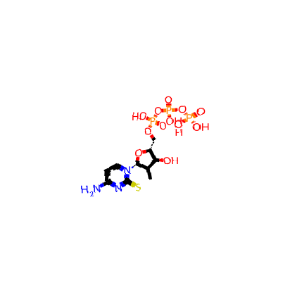 CC1C(O)[C@@H](COP(=O)(O)OP(=O)(O)OP(=O)(O)O)O[C@H]1n1ccc(N)nc1=S